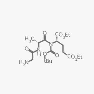 CCOC(=O)CC[C@H](C(=O)OCC)N(C(=O)OC(C)(C)C)C(=O)[C@@H](C)NC(=O)CN